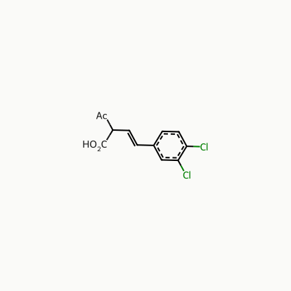 CC(=O)C(C=Cc1ccc(Cl)c(Cl)c1)C(=O)O